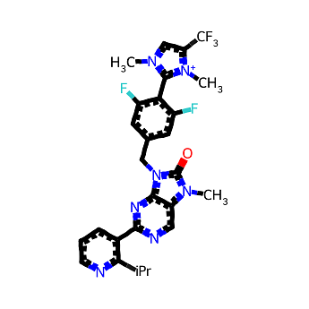 CC(C)c1ncccc1-c1ncc2c(n1)n(Cc1cc(F)c(-c3n(C)cc(C(F)(F)F)[n+]3C)c(F)c1)c(=O)n2C